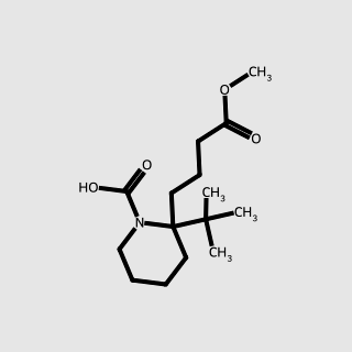 COC(=O)CCCC1(C(C)(C)C)CCCCN1C(=O)O